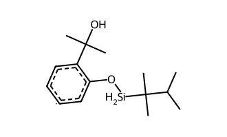 CC(C)C(C)(C)[SiH2]Oc1c[c]ccc1C(C)(C)O